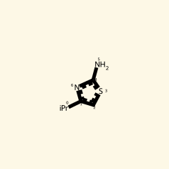 [CH2]C([CH2])c1csc(N)n1